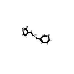 C1=CC(CCOCc2ccccc2)C=N1